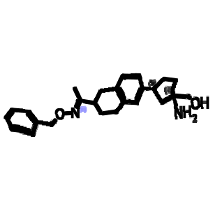 C/C(=N\OCc1ccccc1)C1CCc2cc([C@H]3CC[C@](N)(CO)C3)ccc2C1